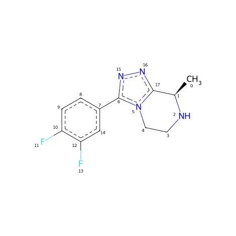 C[C@H]1NCCn2c(-c3ccc(F)c(F)c3)nnc21